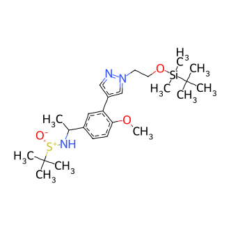 COc1ccc(C(C)N[S@@+]([O-])C(C)(C)C)cc1-c1cnn(CCO[Si](C)(C)C(C)(C)C)c1